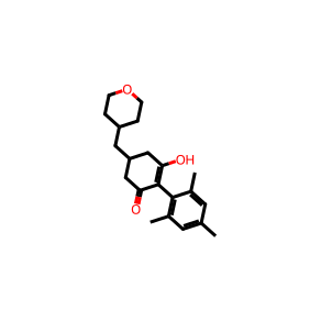 Cc1cc(C)c(C2=C(O)CC(CC3CCOCC3)CC2=O)c(C)c1